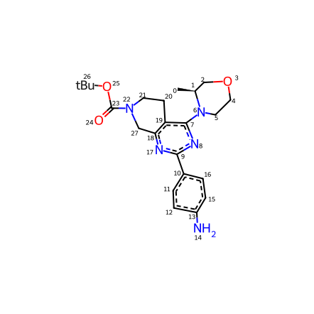 C[C@H]1COCCN1c1nc(-c2ccc(N)cc2)nc2c1CCN(C(=O)OC(C)(C)C)C2